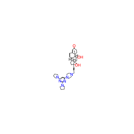 C[C@]12CCC(=O)C=C1C=C[C@@H]1[C@@H]2[C@@H](O)C[C@@]2(C)[C@H]1CC[C@@]2(O)C#CCN1CCN(c2cc(N3CCCC3)nc(N3CCCC3)n2)CC1